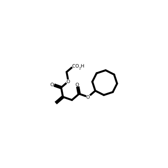 C=C(CC(=O)OC1CCCCCCC1)C(=O)OCC(=O)O